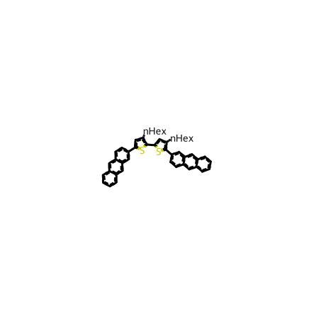 CCCCCCc1cc(-c2sc(-c3ccc4cc5ccccc5cc4c3)cc2CCCCCC)sc1-c1ccc2cc3ccccc3cc2c1